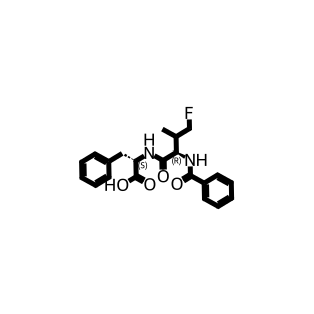 CC(CF)[C@@H](NC(=O)c1ccccc1)C(=O)N[C@@H](Cc1ccccc1)C(=O)O